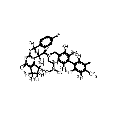 [2H]c1c([2H])c(-c2c([2H])c([2H])c(C(F)(F)F)c(C)c2[2H])c([2H])c([2H])c1CN(CCN(CC)CC)C(=O)C([2H])([2H])n1c(SC([2H])([2H])c2ccc(F)cc2)nc(=O)c2c1C([2H])([2H])C([2H])([2H])C2([2H])[2H]